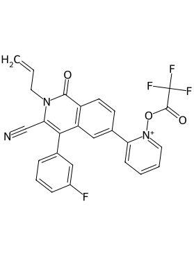 C=CCn1c(C#N)c(-c2cccc(F)c2)c2cc(-c3cccc[n+]3OC(=O)C(F)(F)F)ccc2c1=O